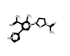 CC(=N)c1c(-c2cc[nH]n2)cn([C@H]2CC[C@@H](C(C)=O)O2)c1C